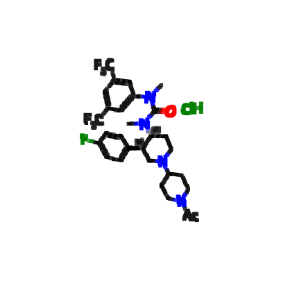 CC(=O)N1CCC(N2CC[C@@H](N(C)C(=O)N(C)c3cc(C(F)(F)F)cc(C(F)(F)F)c3)[C@H](c3ccc(F)cc3)C2)CC1.Cl